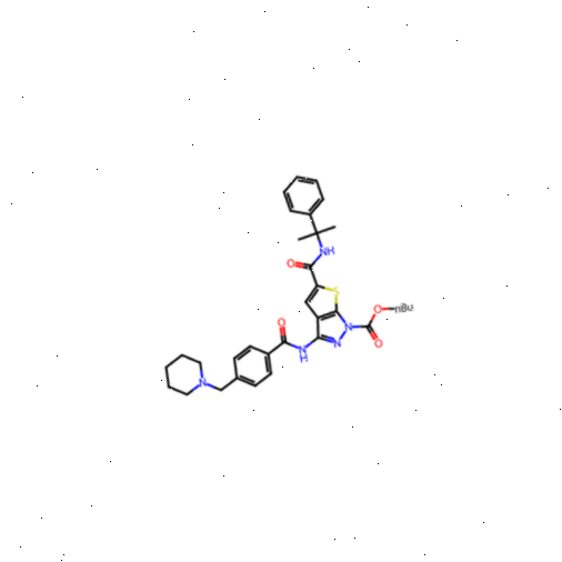 CCCCOC(=O)n1nc(NC(=O)c2ccc(CN3CCCCC3)cc2)c2cc(C(=O)NC(C)(C)c3ccccc3)sc21